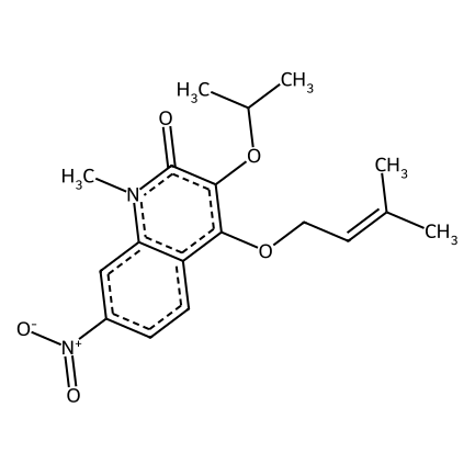 CC(C)=CCOc1c(OC(C)C)c(=O)n(C)c2cc([N+](=O)[O-])ccc12